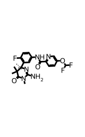 CN1C(=O)C(C)(C)[C@@](C)(c2cc(NC(=O)c3ccc(OC(F)F)cn3)ccc2F)N=C1N